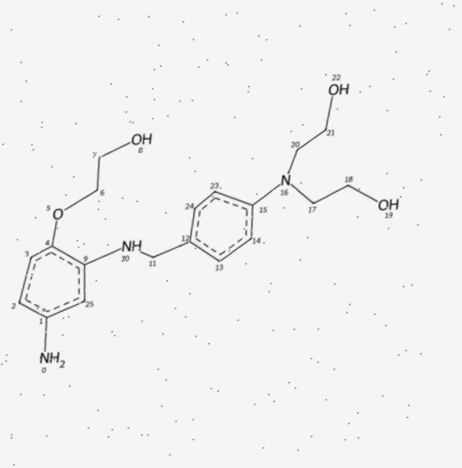 Nc1ccc(OCCO)c(NCc2ccc(N(CCO)CCO)cc2)c1